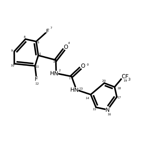 O=C(NC(=O)c1c(F)cccc1F)Nc1cncc(C(F)(F)F)c1